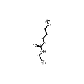 CC(C)OCCCCC(=O)NSC(F)(F)F